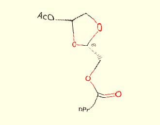 CCCC(=O)OC[C@H]1OCC(OC(C)=O)O1